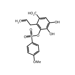 C=CCc1c(C(=O)O)cc(O)c(O)c1OS(=O)(=O)c1ccc(OC)cc1